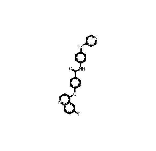 O=C(Nc1ccc(Nc2ccncc2)cc1)c1ccc(Oc2ccnc3ccc(F)cc23)cc1